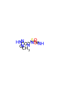 Cc1cccc(-c2[nH]cnc2-c2ccc3ncc(-c4csc(C(=O)O[C@H]5CCNC5)n4)cc3c2)n1